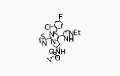 CCN/C=C\C(=N)C1=C2C[C@H](NS(=O)(=O)C3CC3)CN2C(c2nccs2)=N[C@H]1c1ccc(F)cc1Cl